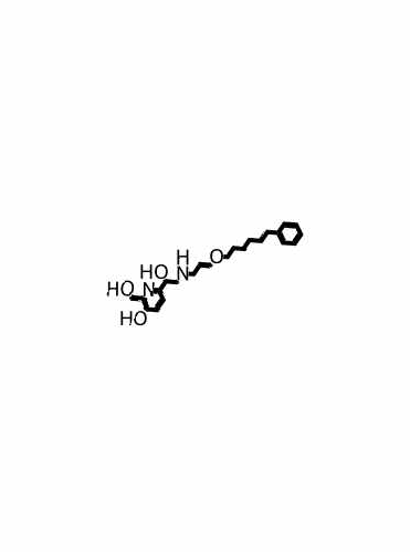 OCc1nc(C(O)CNCCCOCCCCCCc2ccccc2)ccc1O